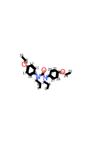 CCCN(C(=O)N(CCC)c1ccc(OCC)cc1)c1ccc(OCC)cc1